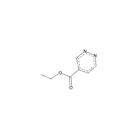 CCOC(=O)c1[c]nncc1